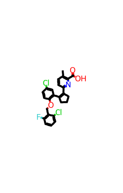 Cc1ccc(C2=C(c3cc(Cl)ccc3OCc3c(F)cccc3Cl)CCC2)nc1C(=O)O